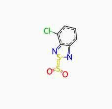 O=S(=O)=S1N=c2cccc(Cl)c2=N1